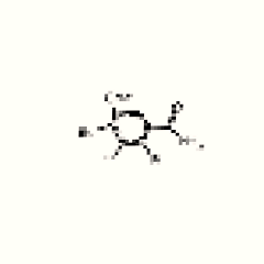 CCc1c(OC)cc(C(N)=O)c(Br)c1CC